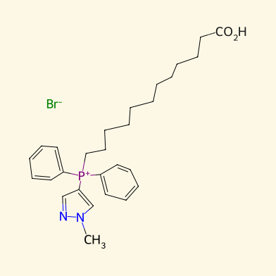 Cn1cc([P+](CCCCCCCCCCCC(=O)O)(c2ccccc2)c2ccccc2)cn1.[Br-]